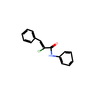 O=C(Nc1ccccc1)C(Cl)=Cc1ccccc1